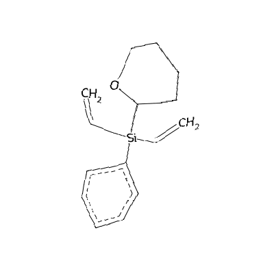 C=C[Si](C=C)(c1ccccc1)C1CCCCO1